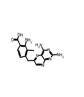 Cc1c(Cc2cnc3nc(N)nc(N)c3n2)ccc(C(=O)O)c1N